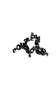 COC(=O)[C@H](CNC(=O)C(=O)Nc1cccc(C(C)C)c1)NC(=O)c1ccc(Nc2nc(NC3(c4ccc(Cl)cc4)CC3)nc(OCC(F)(F)F)n2)cc1